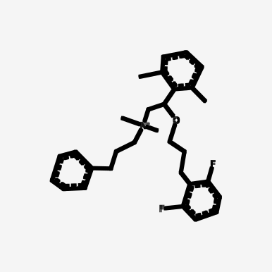 Cc1cccc(C)c1C(C[N+](C)(C)CCCc1ccccc1)OCCCc1c(F)cccc1F